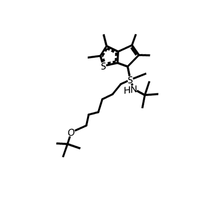 CC1=C(C)C(S(C)(CCCCCCOC(C)(C)C)NC(C)(C)C)c2sc(C)c(C)c21